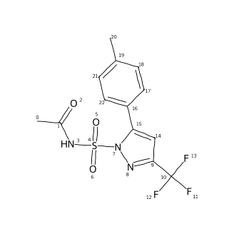 CC(=O)NS(=O)(=O)n1nc(C(F)(F)F)cc1-c1ccc(C)cc1